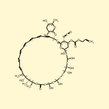 C=CCOC(=O)O[C@H]1C[C@@]2(O)C[C@@H](O)C[C@@H](O)[C@H](O)CC[C@@H](O)C[C@@H](O)CC(=O)O[C@@H](C)[C@H](C)[C@H](O)[C@@H](C)/C=C/C=C/C=C/C=C/C=C/C=C/C=C/[C@H](O[C@@H]3O[C@H](C)[C@@H](O)C[C@@H]3O)C[C@H](O2)[C@@H]1N=C=O